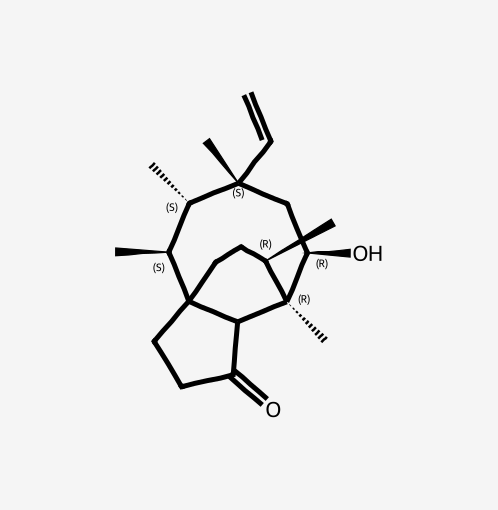 C=C[C@]1(C)C[C@@H](O)[C@@]2(C)C3C(=O)CCC3(CC[C@H]2C)[C@@H](C)[C@@H]1C